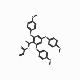 C=CC(=O)OC(C)c1c(Sc2ccc(SC)cc2)cc(Sc2ccc(SC)cc2)cc1Sc1ccc(SC)cc1